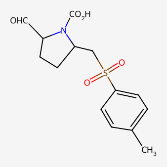 Cc1ccc(S(=O)(=O)CC2CCC(C=O)N2C(=O)O)cc1